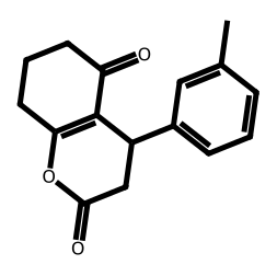 Cc1cccc(C2CC(=O)OC3=C2C(=O)CCC3)c1